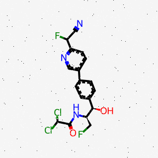 N#CC(F)c1ccc(-c2ccc([C@@H](O)[C@@H](CF)NC(=O)C(Cl)Cl)cc2)cn1